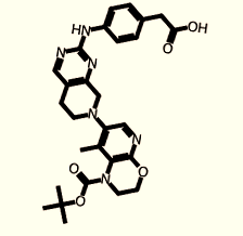 Cc1c(N2CCc3cnc(Nc4ccc(CC(=O)O)cc4)nc3C2)cnc2c1N(C(=O)OC(C)(C)C)CCO2